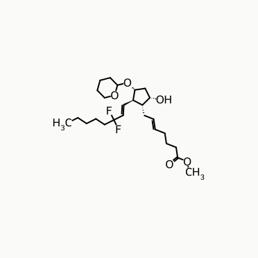 CCCCCC(F)(F)C=C[C@@H]1[C@@H](CC=CCCCC(=O)OC)[C@@H](O)C[C@H]1OC1CCCCO1